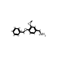 COc1cc(CN)ccc1OCc1ccccc1